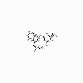 C/C(C#N)=C/c1cn(Cc2cc(C)cc(C(F)(F)F)c2)c2ncccc12